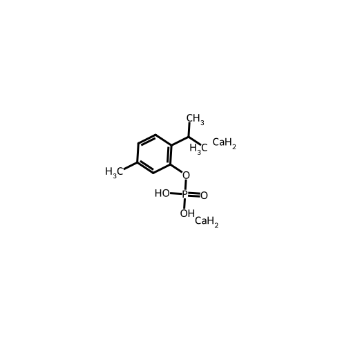 Cc1ccc(C(C)C)c(OP(=O)(O)O)c1.[CaH2].[CaH2]